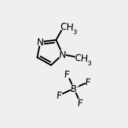 Cc1nccn1C.F[B-](F)(F)F